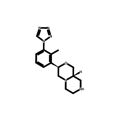 Cc1c([C@@H]2CN3CCNC[C@H]3CO2)cccc1-n1cnnn1